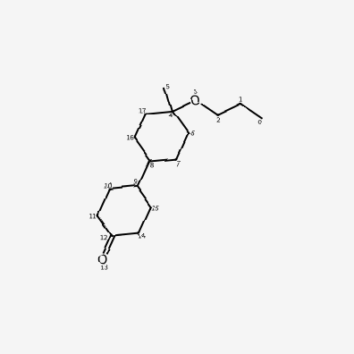 CCCOC1(C)CCC(C2CCC(=O)CC2)CC1